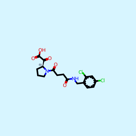 O=C(CCC(=O)N1CCC[C@H]1C(=O)C(=O)O)NCc1ccc(Cl)cc1Cl